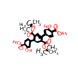 CC(C)(C)OC(=O)c1cc(-c2ccc(C(=O)O)c(O)c2)c(C(=O)OC(C)(C)C)cc1-c1ccc(C(=O)O)c(O)c1